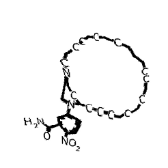 NC(=O)c1cc(N2CCN3CCCCCCCCCCCCCCCCCCCCCC2CC3)ccc1[N+](=O)[O-]